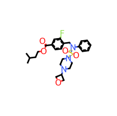 CC(C)CCOC(=O)c1ccc(CN(c2ccccc2)S(=O)(=O)N2CCN(C3COC3)CC2)c(F)c1